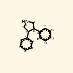 [C]1NCC(c2ccccc2)C1c1ccccc1